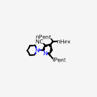 CCCCCCC(CCCCC)c1cc(C(C)CCC)nc(N2CCCCC2)c1C#N